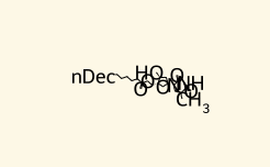 CCCCCCCCCCCCCCCC(=O)OC[C@H]1O[C@@H](n2cc(C)c(=O)[nH]c2=O)C[C@@H]1O